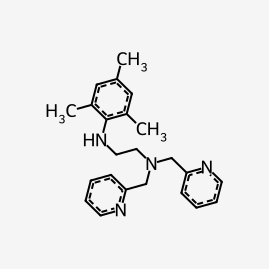 Cc1cc(C)c(NCCN(Cc2ccccn2)Cc2ccccn2)c(C)c1